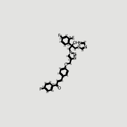 O=C(C=Cc1ccc(OCc2cn(CC(O)(Cn3cncn3)c3ccc(F)cc3F)nn2)cc1)c1ccc(F)cc1